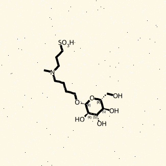 CN(CCCCO[C@@H]1O[C@H](CO)[C@@H](O)[C@H](O)[C@H]1O)CCCS(=O)(=O)O